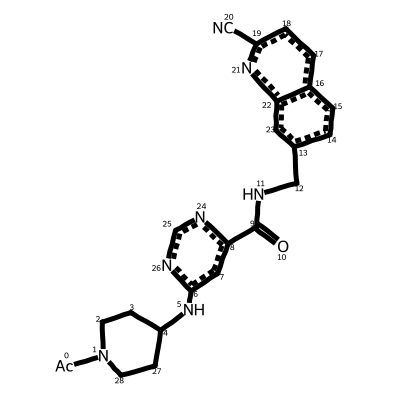 CC(=O)N1CCC(Nc2cc(C(=O)NCc3ccc4ccc(C#N)nc4c3)ncn2)CC1